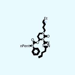 C=CCCc1nnc(N2C(=O)N(CC/C=C/CC)CCC2OC(=O)N(CCCCC)c2ccccc2)s1